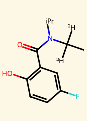 [2H]C([2H])(C)N(C(=O)c1cc(F)ccc1O)C(C)C